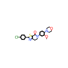 COc1cc(N2CCc3nc(-c4ccc(Cl)cc4)sc3C2=O)ccc1N1CCOCC1